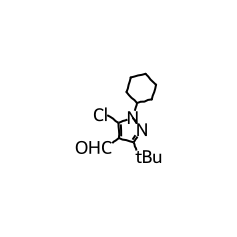 CC(C)(C)c1nn(C2CCCCC2)c(Cl)c1C=O